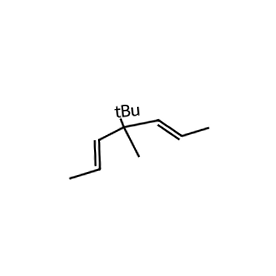 CC=CC(C)(C=CC)C(C)(C)C